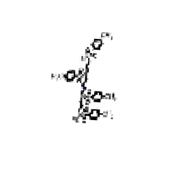 CCN(CCCN(C/C=C/CN(CCCNS(=O)(=O)c1ccc(C)cc1)S(=O)(=O)c1ccc(C)cc1)S(=O)(=O)c1ccc(C)cc1)S(=O)(=O)c1ccc(C)cc1